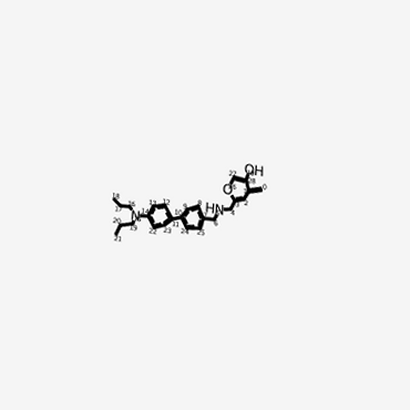 C=C1C=C(CNCc2ccc(-c3ccc(N(CCC)CCC)cc3)cc2)OC=C1O